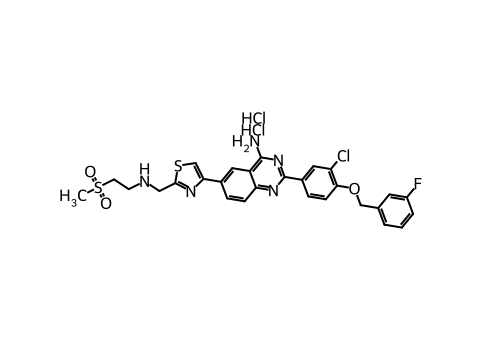 CS(=O)(=O)CCNCc1nc(-c2ccc3nc(-c4ccc(OCc5cccc(F)c5)c(Cl)c4)nc(N)c3c2)cs1.Cl.Cl